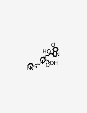 COc1ccc2nccc([C@@H](O)CC[C@@H]3CCN(CCSc4cccnn4)C[C@@H]3CC(=O)O)c2c1